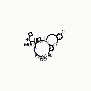 CO[C@@]1(CC(=O)N(C)C2CCC2)/C=C/C[C@H](C)[C@@H](C)S(=O)(=O)NC(=O)c2ccc3c(c2)N(CCCCc2cc(Cl)ccc2CO3)C[C@@H]2CC[C@H]21